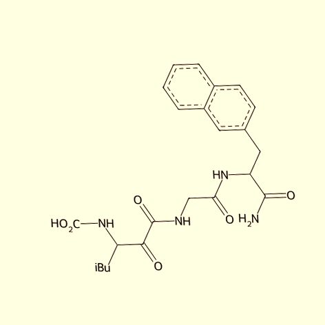 CCC(C)C(NC(=O)O)C(=O)C(=O)NCC(=O)NC(Cc1ccc2ccccc2c1)C(N)=O